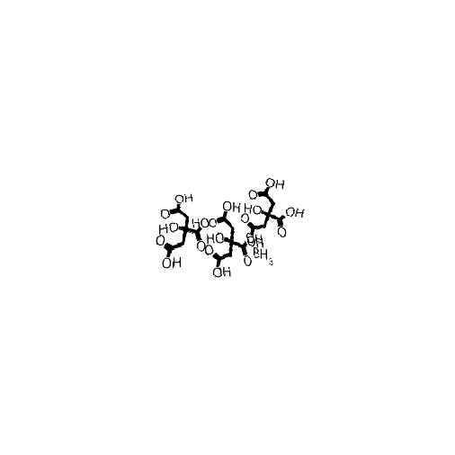 B.O=C(O)CC(O)(CC(=O)O)C(=O)O.O=C(O)CC(O)(CC(=O)O)C(=O)O.O=C(O)CC(O)(CC(=O)O)C(=O)O